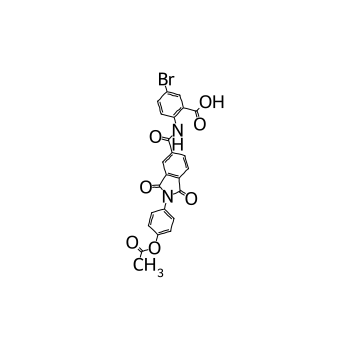 CC(=O)Oc1ccc(N2C(=O)c3ccc(C(=O)Nc4ccc(Br)cc4C(=O)O)cc3C2=O)cc1